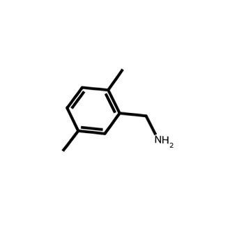 Cc1ccc(C)c(CN)c1